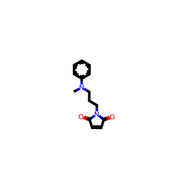 CN(CCCN1C(=O)C=CC1=O)c1ccccc1